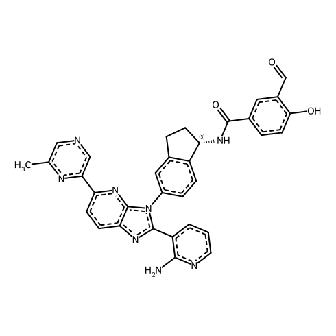 Cc1cncc(-c2ccc3nc(-c4cccnc4N)n(-c4ccc5c(c4)CC[C@@H]5NC(=O)c4ccc(O)c(C=O)c4)c3n2)n1